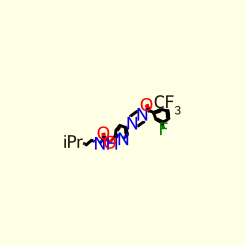 CC(C)CCNC(=O)Oc1ccc(N2CCN(C(=O)c3cc(F)ccc3C(F)(F)F)CC2)cn1